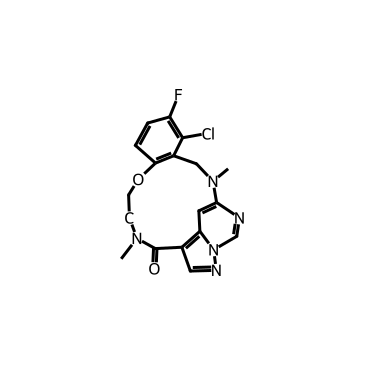 CN1CCOc2ccc(F)c(Cl)c2CN(C)c2cc3c(cnn3cn2)C1=O